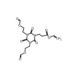 C=COC(=O)CCn1c(=O)n(CCOC=O)c(=O)n(CCOC=O)c1=O